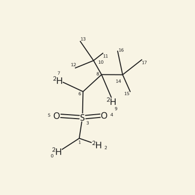 [2H]C([2H])S(=O)(=O)C([2H])C([2H])(C(C)(C)C)C(C)(C)C